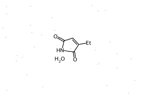 CCC1=CC(=O)NC1=O.O